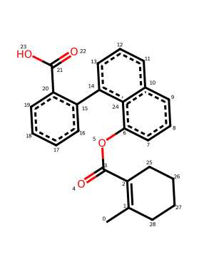 CC1=C(C(=O)Oc2cccc3cccc(-c4ccccc4C(=O)O)c23)CCCC1